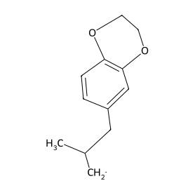 [CH2]C(C)Cc1ccc2c(c1)OCCO2